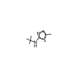 Cc1cnc(NC(C)(C)C)s1